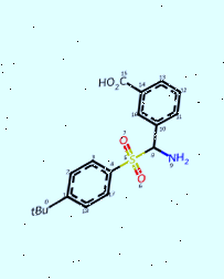 CC(C)(C)c1ccc(S(=O)(=O)C(N)c2cccc(C(=O)O)c2)cc1